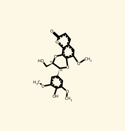 COc1cc([C@H]2Oc3c(OC)cc4ccc(=O)oc4c3O[C@@H]2CO)cc(OC)c1O